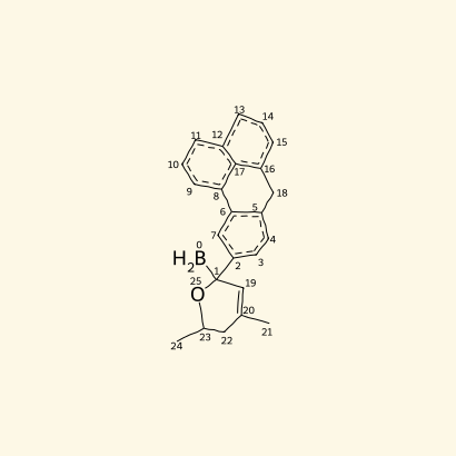 BC1(c2ccc3c(c2)-c2cccc4cccc(c24)C3)C=C(C)CC(C)O1